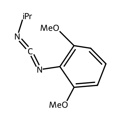 COc1cccc(OC)c1N=C=NC(C)C